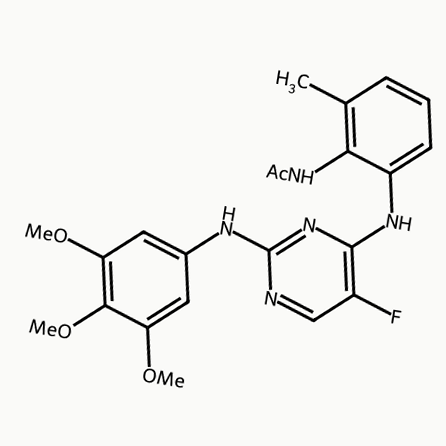 COc1cc(Nc2ncc(F)c(Nc3cccc(C)c3NC(C)=O)n2)cc(OC)c1OC